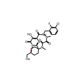 CN(C)C(=O)C(=O)N(C)C12CCC(CO)(CC1)Cn1c2nc(C(=O)NCc2cccc(Cl)c2F)c(O)c1=O